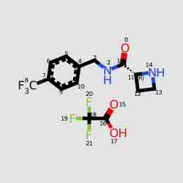 O=C(NCc1ccc(C(F)(F)F)cc1)[C@H]1CCN1.O=C(O)C(F)(F)F